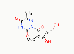 CO[C@@H]1[C@H](O)[C@@H](CO)O[C@H]1n1nc(C)c(=O)[nH]c1=O